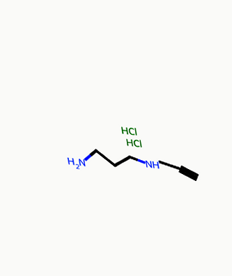 C#CCNCCCN.Cl.Cl